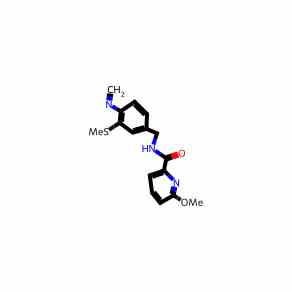 C=Nc1ccc(CNC(=O)c2cccc(OC)n2)cc1SC